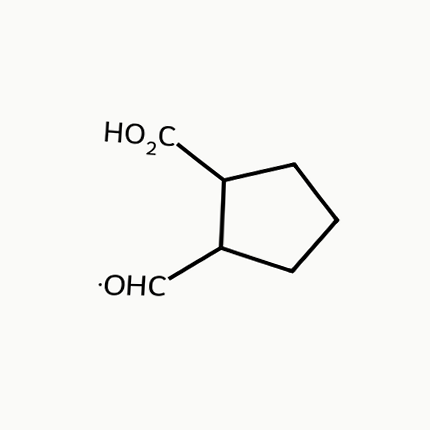 O=[C]C1CCCC1C(=O)O